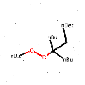 CCCCCCCCCCCC(CCCC)(CCCC)OOCCCC